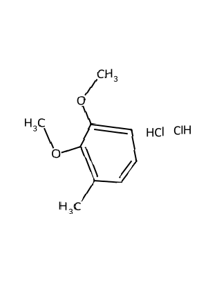 COc1cccc(C)c1OC.Cl.Cl